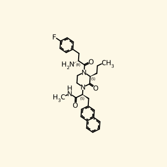 CCC[C@H]1C(=O)N([C@@H](Cc2ccc3ccccc3c2)C(=O)NC)CCN1C(=O)[C@H](N)Cc1ccc(F)cc1